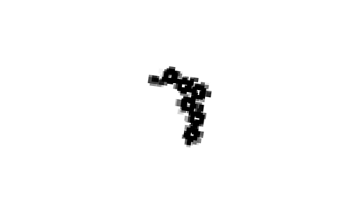 Cc1ccc(-c2ccc3oc4c(-c5cccc6oc7cc(-c8cccc(C(C)(C)C)c8)ccc7c56)cccc4c3c2)cc1